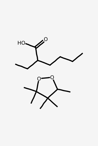 CC1OOC(C)(C)C1(C)C.CCCCC(CC)C(=O)O